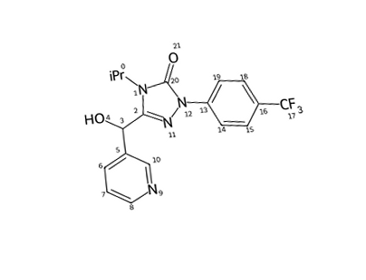 CC(C)n1c(C(O)c2cccnc2)nn(-c2ccc(C(F)(F)F)cc2)c1=O